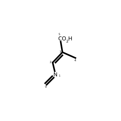 C=N/C=C(\C)C(=O)O